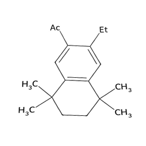 CCc1cc2c(cc1C(C)=O)C(C)(C)CCC2(C)C